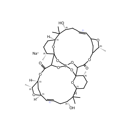 C[C@@H]1CC[C@@H]2OC13O[B-]14OC3C(=O)OC3CC(/C=C/C[C@@H](O)C(C)(C)[C@@H]5CC[C@@H](C)C(O5)(O1)C(O4)C(=O)O[C@H]1C[C@@H](/C=C/C[C@@H](O)C2(C)C)O[C@@H]1C)O[C@@H]3C.[Na+]